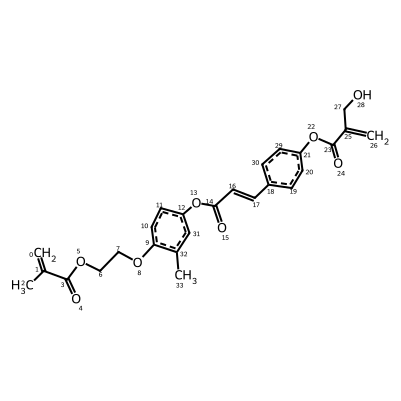 C=C(C)C(=O)OCCOc1ccc(OC(=O)/C=C/c2ccc(OC(=O)C(=C)CO)cc2)cc1C